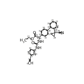 C#Cc1nc(NC(=O)NN(C(=O)OCC)c2ccc(-c3cccnc3C3(C#N)CC3)cc2)cs1